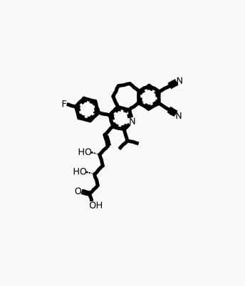 CC(C)c1nc2c(c(-c3ccc(F)cc3)c1/C=C/[C@@H](O)C[C@@H](O)CC(=O)O)CCCc1cc(C#N)c(C#N)cc1-2